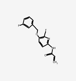 C=CC(=O)Nc1ccc(OCc2cccc(F)c2)c(F)n1